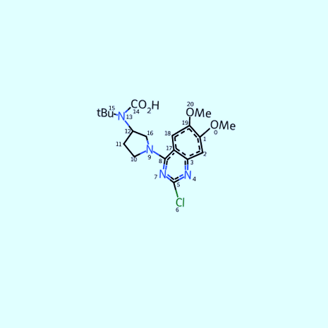 COc1cc2nc(Cl)nc(N3CCC(N(C(=O)O)C(C)(C)C)C3)c2cc1OC